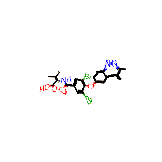 Cc1nnc2ccc(Oc3c(Br)cc(C(=O)N[C@H](C(=O)O)C(C)C)cc3Br)cc2c1C